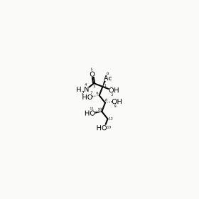 CC(=O)[C@](O)(C(N)=O)[C@@H](O)[C@H](O)[C@H](O)CO